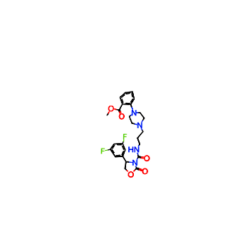 COC(=O)c1ccccc1N1CCN(CCCNC(=O)N2C(=O)OCC2c2cc(F)cc(F)c2)CC1